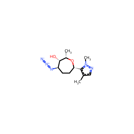 Cc1cnn(C)c1[C@@H]1CC[C@@H](N=[N+]=[N-])[C@H](O)[C@H](C)O1